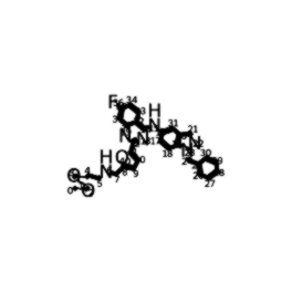 CS(=O)(=O)CCNCc1ccc(-c2nc(Nc3ccc4c(cnn4Cc4ccccc4)c3)c3ccc(F)cc3n2)o1